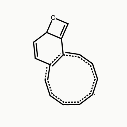 [c]1ccccc2c(ccc1)C1=COC1C=C2